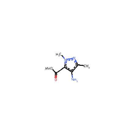 COC(=O)c1c(N)c(C)nn1C